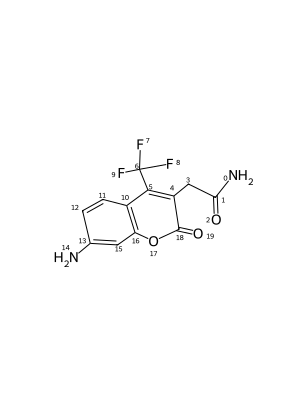 NC(=O)Cc1c(C(F)(F)F)c2ccc(N)cc2oc1=O